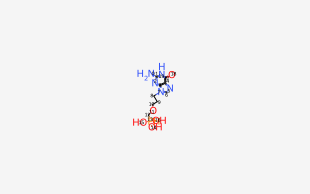 Nc1nc2c(ncn2CCCOC[PH](O)(O)O)c(=O)[nH]1